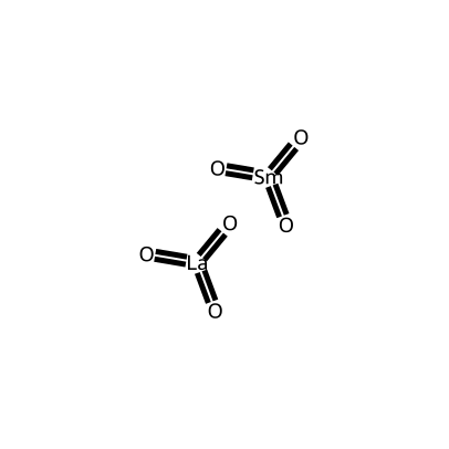 [O]=[La](=[O])=[O].[O]=[Sm](=[O])=[O]